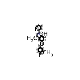 C=C(/C=C/c1ccccn1)c1cc(OCc2ccc(F)c(C)c2)ccc1O